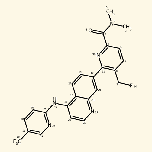 CN(C)C(=O)c1ccc(CF)c(-c2ccc3c(Nc4ccc(C(F)(F)F)cn4)ccnc3c2)n1